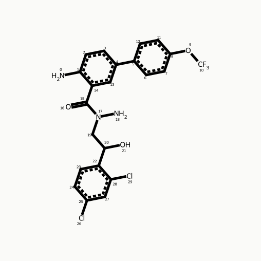 Nc1ccc(-c2ccc(OC(F)(F)F)cc2)cc1C(=O)N(N)CC(O)c1ccc(Cl)cc1Cl